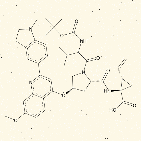 C=C[C@@H]1C[C@]1(NC(=O)[C@@H]1C[C@@H](Oc2cc(-c3ccc4c(c3)CCN4C)nc3cc(OC)ccc23)CN1C(=O)C(NC(=O)OC(C)(C)C)C(C)C)C(=O)O